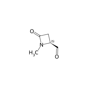 CN1C(=O)C[C@H]1C=O